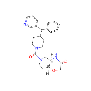 O=C1CO[C@H]2CCN(C(=O)N3CCC(C(c4ccccc4)c4cccnc4)CC3)C[C@H]2N1